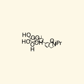 Cc1cc(-c2ccc3c(c2)C(=O)N(C(C)C)CC3)ccc1O[C@H]1OC(CO)[C@@H](O)C(O)C1O